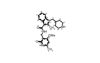 COc1cc(C)[nH]c(=O)c1CNC(=O)c1c(C)n(CC2CCNCC2)c2ccccc12